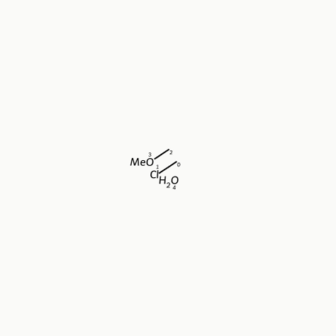 CCl.COC.O